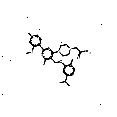 COc1cc(F)ccc1-c1nc(C)c(COc2cc(C(C)C)ccc2C)c(N2CCN(CC(N)=O)CC2)n1